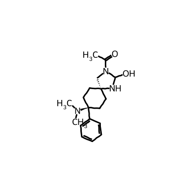 CC(=O)N1C[C@]2(CC[C@](c3ccccc3)(N(C)C)CC2)NC1O